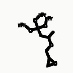 CCCO[Si](CC(C)OCC1CO1)(OCCC)OCCC